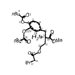 CCCCC(=O)Oc1ccc(C[C@](N)(CCOC(=O)CC(C)C)C(=O)OC)cc1OC(=O)CCCC